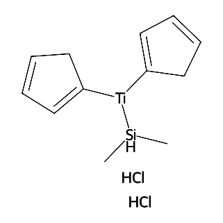 C[SiH](C)[Ti]([C]1=CC=CC1)[C]1=CC=CC1.Cl.Cl